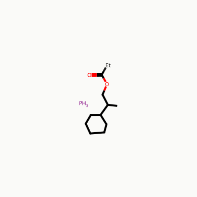 CCC(=O)OCC(C)C1CCCCC1.P